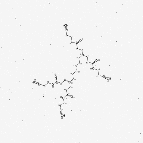 C#CCCOC(=O)CCN(CCSSCCN(CCC(=O)OCCC#C)CCC(=O)OCCC#C)CCC(=O)OCCC#C